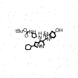 CCc1cc(O)ccc1/N=C(\N)c1cnn2cc(C3CCCCC3)cc2c1N[C@@H]1CC[C@H](NC(=O)OC(C)(C)C)C1